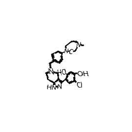 CN1CCCN(c2ccc(CN3CCc4[nH]nc(-c5cc(Cl)c(O)cc5O)c4C3)cc2)CC1